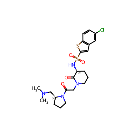 CN(C)C[C@@H]1CCCN1C(=O)CN1CCC[C@H](NS(=O)(=O)c2cc3cc(Cl)ccc3s2)C1=O